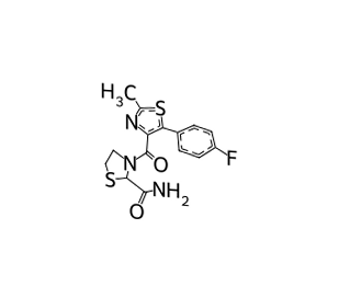 Cc1nc(C(=O)N2CCSC2C(N)=O)c(-c2ccc(F)cc2)s1